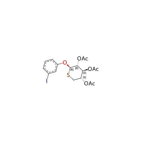 CC(=O)O[C@@H]1[C@@H](OC(C)=O)[C@H](OC(C)=O)CS[C@H]1Oc1cccc(I)c1